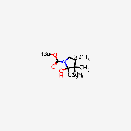 C[C@H]1CN(C(=O)OC(C)(C)C)C(O)(C(=O)O)C1(C)C